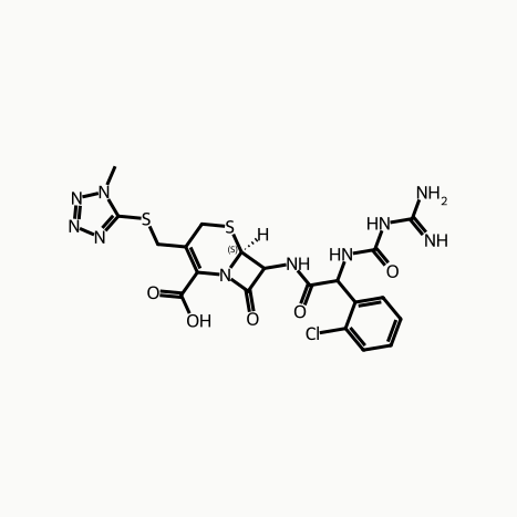 Cn1nnnc1SCC1=C(C(=O)O)N2C(=O)C(NC(=O)C(NC(=O)NC(=N)N)c3ccccc3Cl)[C@@H]2SC1